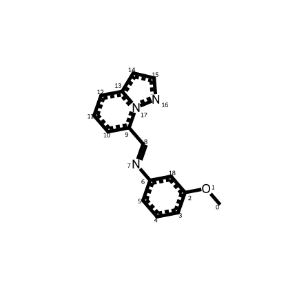 COc1cccc(/N=C/c2cccc3ccnn23)c1